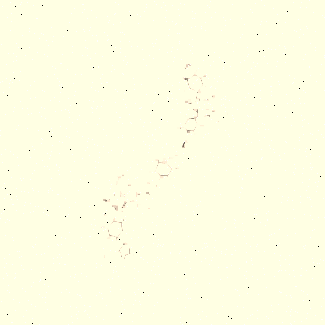 Cc1ncsc1-c1ccc(CNC(=O)[C@@H]2C[C@@H](O)CN2C(=O)[C@@H](NC(=O)COc2ccc(OCC#Cc3ccc(N4C(=S)N(c5ccc(C#N)c(C(F)(F)F)c5)C(=O)C4(C)C)cc3)cc2)C(C)(C)C)cc1